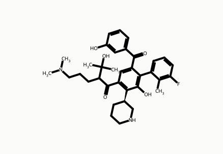 Cc1c(F)cccc1-c1c(C(=O)c2cccc(O)c2)cc(C(=O)C(CCCN(C)C)C(C)(C)O)c([C@@H]2CCCNC2)c1O